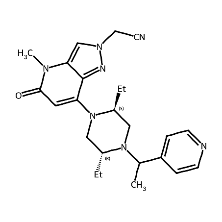 CC[C@H]1CN(C(C)c2ccncc2)[C@H](CC)CN1c1cc(=O)n(C)c2cn(CC#N)nc12